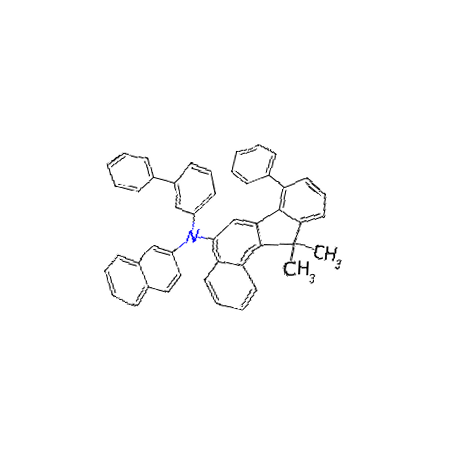 CC1(C)c2cccc(-c3ccccc3)c2-c2cc(N(c3cccc(-c4ccccc4)c3)c3ccc4ccccc4c3)c3ccccc3c21